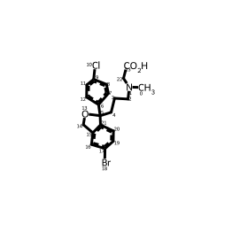 CN(CCCC1(c2ccc(Cl)cc2)OCc2cc(Br)ccc21)CC(=O)O